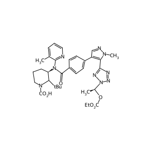 CCOC(=O)O[C@@H](C)n1nnc(-c2c(-c3ccc(C(=O)N(c4ncccc4C)[C@@H]4CCCN(C(=O)O)C4C(C)(C)C)cc3)cnn2C)n1